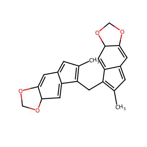 CC1=C(CC2=C(C)C=C3C=C4OCOC4C=C32)C2=CC3OCOC3=CC2=C1